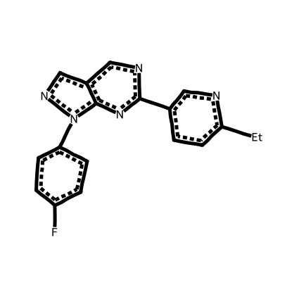 CCc1ccc(-c2ncc3cnn(-c4ccc(F)cc4)c3n2)cn1